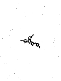 CCCCOC[C@@H]1C[C@H](OCCCC)C[C@H](c2cccc(Cc3ccc(CC)cc3)c2)S1